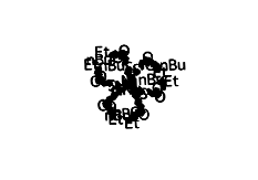 CCCCC(CC)COC(=O)CCSCN(CSCCC(=O)OCC(CC)CCCC)c1nc(N(CSCCC(=O)OCC(CC)CCCC)CSCCC(=O)OCC(CC)CCCC)nc(N(CSCCC(=O)OCC(CC)CCCC)CSCCC(=O)OCC(CC)CCCC)n1